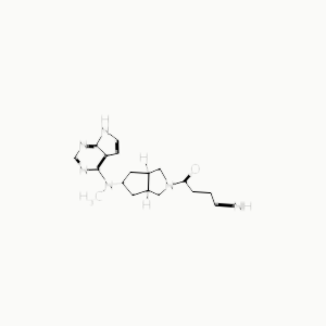 CN(c1ncnc2[nH]ccc12)[C@@H]1C[C@@H]2CN(C(=O)CCC=N)C[C@@H]2C1